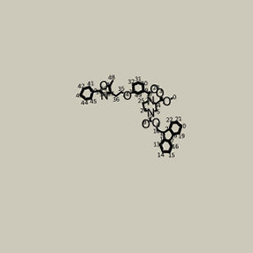 COC(=O)C1CN(C(=O)OCC2c3ccccc3-c3ccccc32)CCN1C(=O)c1cccc(OCCc2nc(-c3ccccc3)oc2C)c1